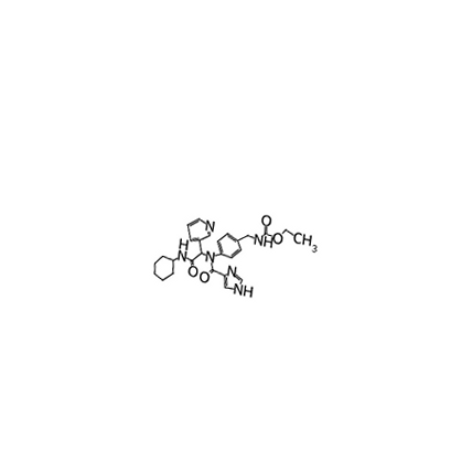 CCOC(=O)NCc1ccc(N(C(=O)c2c[nH]cn2)C(C(=O)NC2CCCCC2)c2cccnc2)cc1